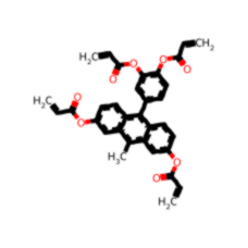 C=CC(=O)Oc1ccc2c(-c3ccc(OC(=O)C=C)c(OC(=O)C=C)c3)c3ccc(OC(=O)C=C)cc3c(C)c2c1